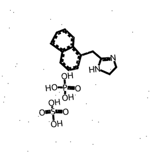 O=P(O)(O)O.O=S(=O)(O)O.c1ccc2c(CC3=NCCN3)cccc2c1